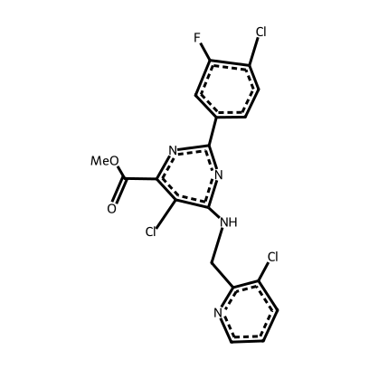 COC(=O)c1nc(-c2ccc(Cl)c(F)c2)nc(NCc2ncccc2Cl)c1Cl